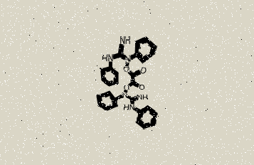 N=C(Nc1ccccc1)N(OC(=O)C(=O)ON(C(=N)Nc1ccccc1)c1ccccc1)c1ccccc1